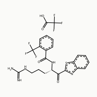 N=C(N)NCCC[C@H](NC(=O)c1ccccc1C(F)(F)F)C(=O)c1nc2ccccc2s1.O=C(O)C(F)(F)F